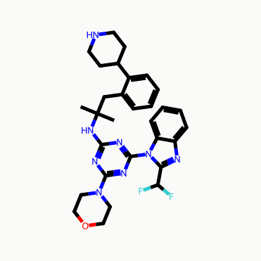 CC(C)(Cc1ccccc1C1CCNCC1)Nc1nc(N2CCOCC2)nc(-n2c(C(F)F)nc3ccccc32)n1